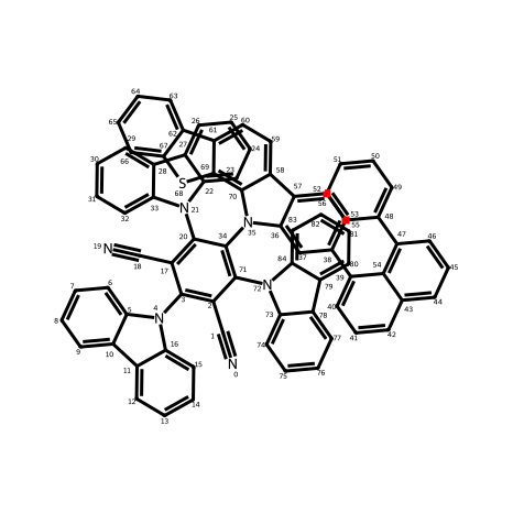 N#Cc1c(-n2c3ccccc3c3ccccc32)c(C#N)c(-n2c3ccccc3c3ccccc32)c(-n2c3cc(-c4cccc5cccc(-c6ccccc6)c45)ccc3c3ccc4c5ccccc5sc4c32)c1-n1c2ccccc2c2ccccc21